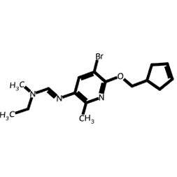 CCN(C)/C=N/c1cc(Br)c(OCC2CC=CC2)nc1C